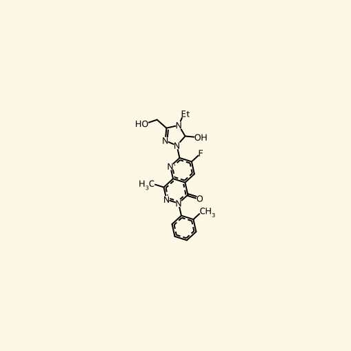 CCN1C(CO)=NN(c2nc3c(C)nn(-c4ccccc4C)c(=O)c3cc2F)C1O